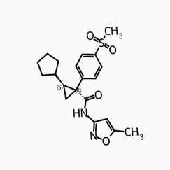 Cc1cc(NC(=O)[C@]2(c3ccc(S(C)(=O)=O)cc3)C[C@H]2C2CCCC2)no1